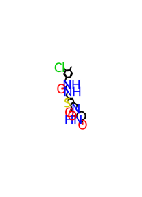 Cc1ccc(CNC(=O)NCc2cc3c(s2)C(=O)N([C@H]2CCCC(=O)NC2=O)C3)cc1Cl